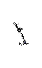 C/C(=N\OCCCCCCOc1c(Cl)cc(OCC=C(Cl)Cl)cc1Cl)C(C)C